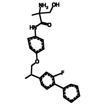 CC(COc1ccc(NC(=O)C(C)(N)CO)cc1)c1ccc(-c2ccccc2)c(F)c1